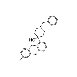 Cc1ccc(Cc2ccccc2C2(O)CCN(Cc3ccccc3)CC2)c(F)c1